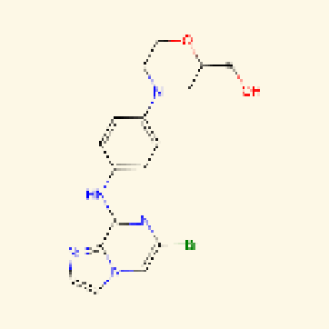 OC[C@H]1CN(c2ccc(Nc3nc(Br)cn4ccnc34)cc2)CCO1